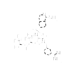 N=C(N)c1cccc(CN2CC[C@H](NS(=O)(=O)c3ccc4c(N)nccc4c3)C2=O)c1.O=C(O)C(F)(F)F.O=C(O)C(F)(F)F